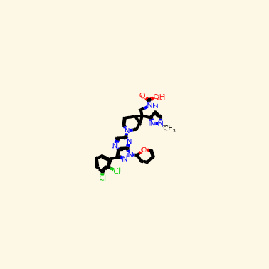 Cn1ccc(C2(CNC(=O)O)C3CCN(c4cnc5c(-c6cccc(Cl)c6Cl)nn(C6CCCCO6)c5n4)CC32)n1